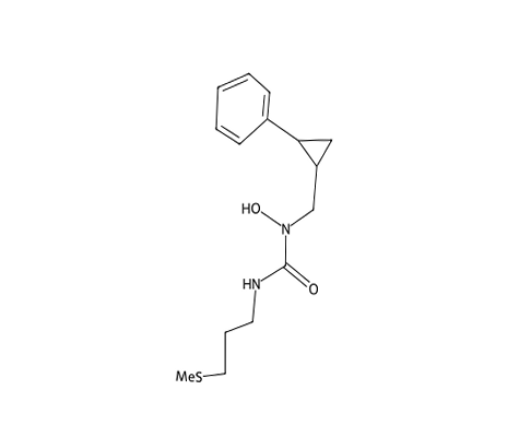 CSCCCNC(=O)N(O)CC1CC1c1ccccc1